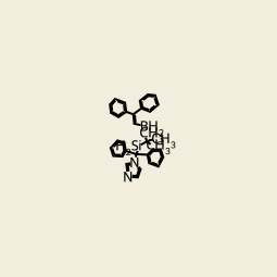 BC=C(c1ccccc1)c1ccccc1.CC(C)(C)[SiH2]C(c1ccccc1)(c1ccccc1)n1ccnc1